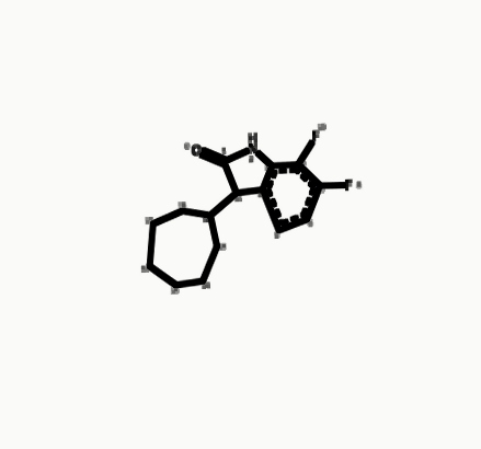 O=C1Nc2c(ccc(F)c2F)C1C1CCCCCC1